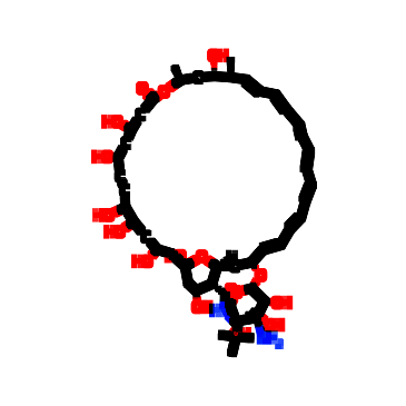 C[C@H]1C[C@H](O)[C@@H](C)/C=C/C=C/C=C/C=C/C=C/C=C/C=C/[C@H](O[C@@H]2OC[C@@H](O)[C@H](N)[C@@H]2O)C[C@@H]2O[C@](O)(CC(O)CC(O)C(O)CCC(O)CC(O)CC(=O)O1)C[C@H](O)[C@H]2C(=O)N[C@H](CO)C(C)(C)C